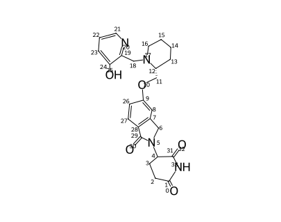 O=C1CCC(N2Cc3cc(OC[C@H]4CCCCN4Cc4ncccc4O)ccc3C2=O)C(=O)N1